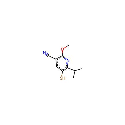 COc1nc(C(C)C)c(S)cc1C#N